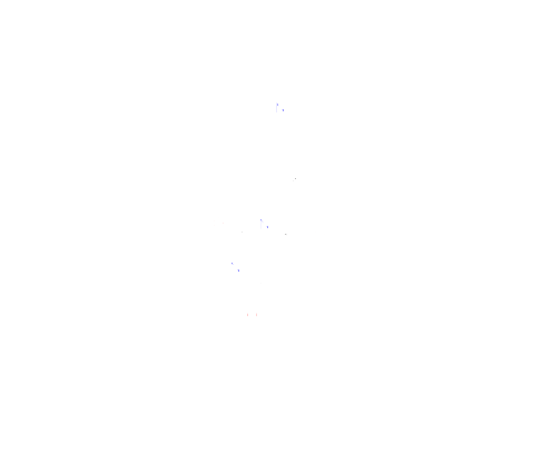 CN1C(=O)N(CC(=O)c2cccnc2)C(=O)C(C)(C2=CCCCC2)C1=O